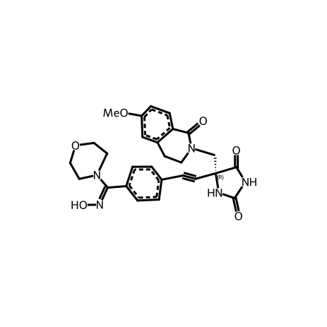 COc1ccc2c(c1)CCN(C[C@@]1(C#Cc3ccc(C(=NO)N4CCOCC4)cc3)NC(=O)NC1=O)C2=O